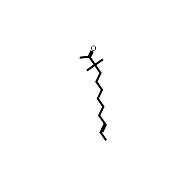 CC=CCCCCCCC(C)(C)C(C)=O